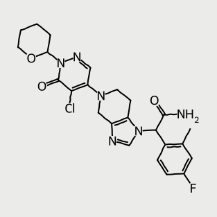 Cc1cc(F)ccc1C(C(N)=O)n1cnc2c1CCN(c1cnn(C3CCCCO3)c(=O)c1Cl)C2